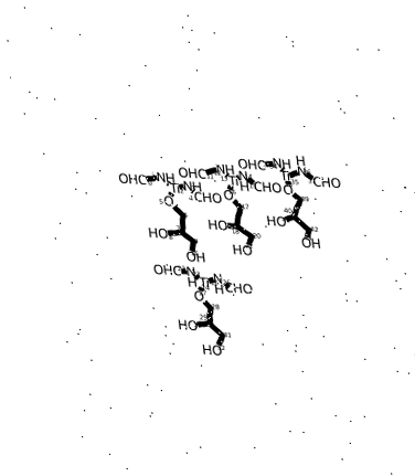 O=C[NH][Ti]([NH]C=O)[O]CC(O)CO.O=C[NH][Ti]([NH]C=O)[O]CC(O)CO.O=C[NH][Ti]([NH]C=O)[O]CC(O)CO.O=C[NH][Ti]([NH]C=O)[O]CC(O)CO